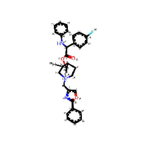 O=C(O[C@H]1C[N+]2(Cc3coc(-c4ccccc4)n3)CCC1CC2)C(Nc1ccccc1)c1ccc(F)cc1